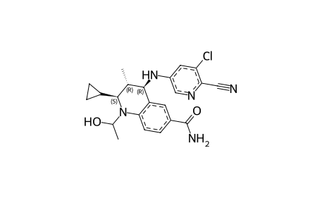 CC(O)N1c2ccc(C(N)=O)cc2[C@H](Nc2cnc(C#N)c(Cl)c2)[C@@H](C)[C@@H]1C1CC1